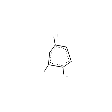 Cc1[c]cc(O)c(Cl)c1